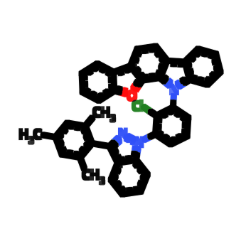 Cc1cc(C)c(-c2nn(-c3cccc(-n4c5ccccc5c5ccc6c7ccccc7oc6c54)c3Cl)c3ccccc23)c(C)c1